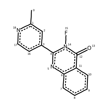 Cc1cc(-c2nc3ccccc3c(=O)n2F)ccn1